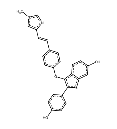 Cn1cnc(C=Cc2ccc(Oc3c(-c4ccc(O)cc4)sc4cc(O)ccc34)cc2)c1